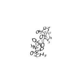 CS(=O)(=O)NS(=O)(=O)OC1C2CC3C(=O)OC1C3C2